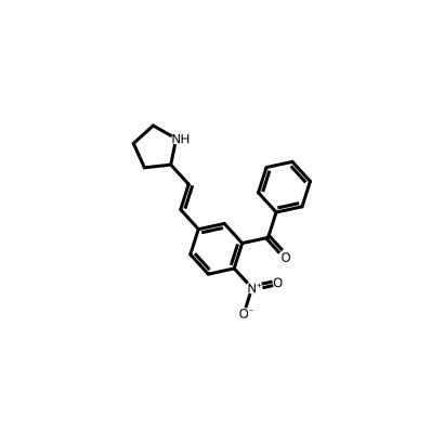 O=C(c1ccccc1)c1cc(C=CC2CCCN2)ccc1[N+](=O)[O-]